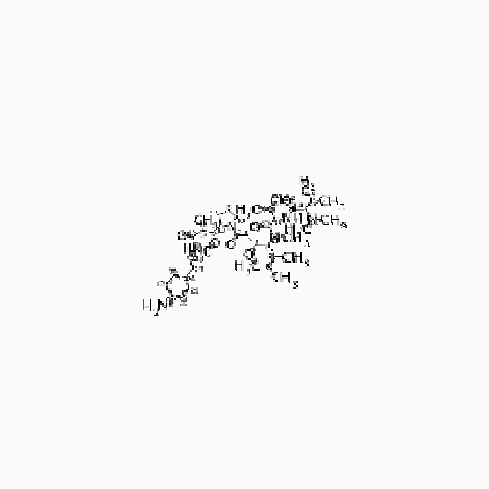 CC[C@H](C)[C@@H]([C@@H](CC(=O)N1CCCC1[C@H](OC)[C@@H](C)C(=O)NCCc1ccc(N)cc1)OC)N(C)C(=O)C(NC(=O)C(C(C)C)N(C)C)C(C)C